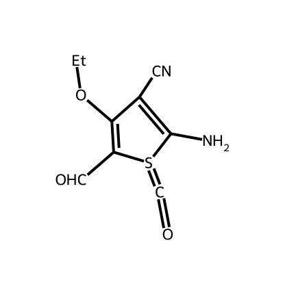 CCOC1=C(C=O)S(=C=O)C(N)=C1C#N